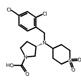 O=C(O)N1CC[C@H](N(Cc2ccc(Cl)cc2Cl)C2CCS(=O)(=O)CC2)C1